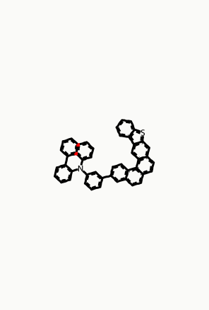 c1ccc(-c2ccccc2N(c2ccccc2)c2cccc(-c3ccc4c(ccc5ccc6cc7sc8ccccc8c7cc6c54)c3)c2)cc1